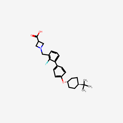 CC(C)(C)[C@H]1CC[C@H](Oc2ccc(-c3cccc(CN4CC(C(=O)O)C4)c3F)cc2)CC1